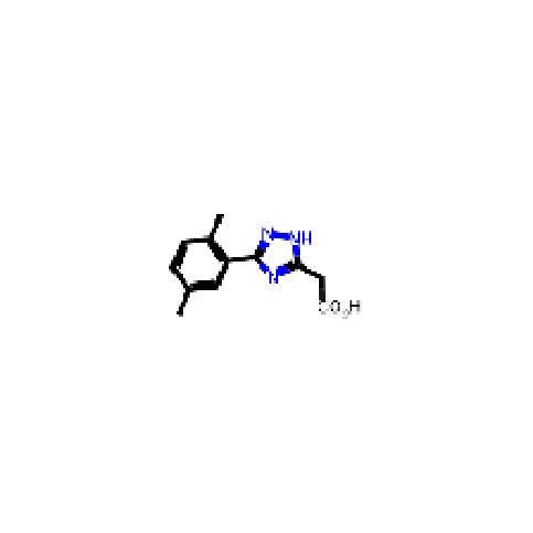 Cc1ccc(C)c(-c2n[nH]c(CC(=O)O)n2)c1